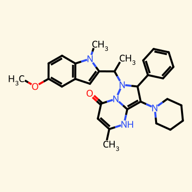 COc1ccc2c(c1)cc(C(C)N1C(c3ccccc3)C(N3CCCCC3)=C3NC(C)=CC(=O)N31)n2C